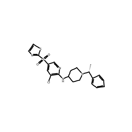 C[C@H](c1ccccc1)N1CCC(Nc2ncc(S(=O)(=O)c3n[c]cs3)cc2Cl)CC1